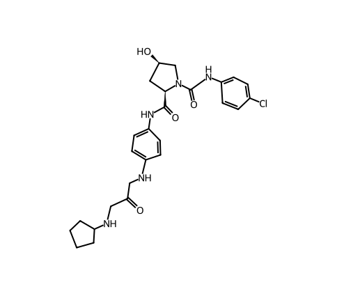 O=C(CNc1ccc(NC(=O)[C@H]2C[C@@H](O)CN2C(=O)Nc2ccc(Cl)cc2)cc1)CNC1CCCC1